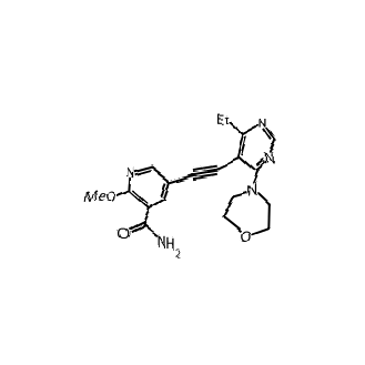 CCc1ncnc(N2CCOCC2)c1C#Cc1cnc(OC)c(C(N)=O)c1